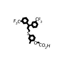 Cc1cc(SCC=C(c2cccc(C(F)(F)F)c2)c2cccc(C(F)(F)F)c2)ccc1OCC(=O)O